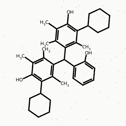 Cc1c(C)c(C(c2ccccc2O)c2c(C)c(C)c(O)c(C3CCCCC3)c2C)c(C)c(C2CCCCC2)c1O